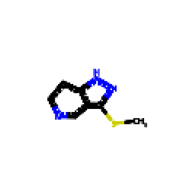 CSc1n[nH]c2ccncc12